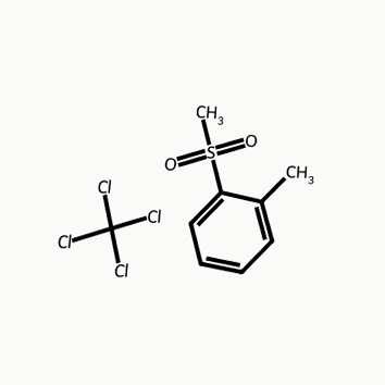 Cc1ccccc1S(C)(=O)=O.ClC(Cl)(Cl)Cl